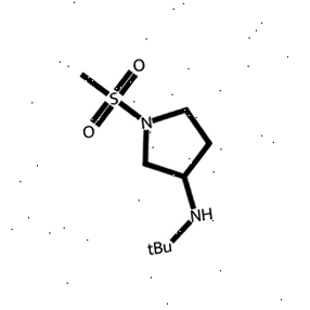 CC(C)(C)NC1CCN(S(C)(=O)=O)C1